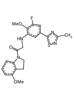 COc1cccc2c1CCN2C(=O)CNc1cc(-c2nc(C)ns2)cc(F)c1OC